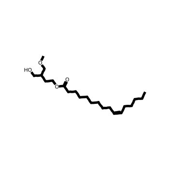 CCCCC/C=C\CCCCCCCCC(=O)OCCC(CO)COC